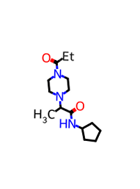 CCC(=O)N1CCN(C(C)C(=O)NC2CCCC2)CC1